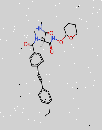 CCc1ccc(C#Cc2ccc(C(=O)N(C)[C@@](C)(C(=O)NC)C(=O)NOC3CCCCO3)cc2)cc1